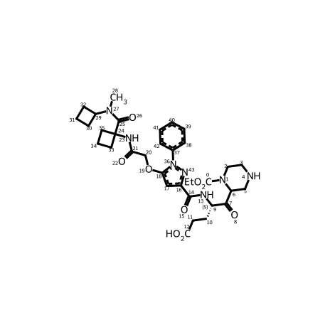 CCOC(=O)N1CCNCC1C(=O)[C@H](CCC(=O)O)NC(=O)c1cc(OCC(=O)NC2(C(=O)N(C)C3CCC3)CCC2)n(-c2ccccc2)n1